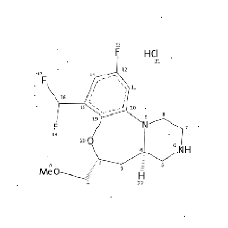 COC[C@H]1C[C@@H]2CNCCN2c2cc(F)cc(C(F)F)c2O1.Cl